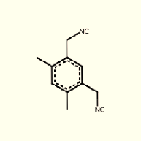 [C-]#[N+]Cc1cc(C[N+]#[C-])c(C)cc1C